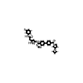 O=C(Cc1cc(Nc2ncnc3cc(-c4ccc(C(=O)N5CCC(N6CCC6)C5)cc4)ccc23)n[nH]1)Nc1cccc(F)c1